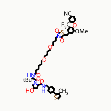 COc1cc(/C=C2\SC(=O)N(CCCCOCCCCOCCCCCC(=O)NC(C(=O)N3C[C@H](O)CC3C(=O)NCc3ccc(-c4sccc4C)cc3)C(C)(C)C)C2=O)ccc1Oc1ccc(C#N)cc1C(F)(F)F